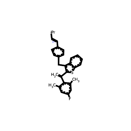 C=C(c1sc2ccccc2c1Cc1ccc(/C=C/C(C)C)cc1)c1c(C)cc(F)cc1C